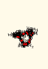 Cc1cc2c(OC3OC(CO)C(O)C(O)C3OC3CC(C)(N)C(O)C(C)O3)c(c1)Oc1ccc(cc1Cl)[C@@H](O)[C@@H](NC(=O)[C@@H](CC(C)C)N(C)C)C(=O)N[C@@H](CC(N)=O)C(=O)NCC(=O)N[C@H]1C(=O)N[C@H](C(=O)N[C@H](C(=O)O)c3cc(O)cc(O)c3-c3cc1ccc3O)[C@H](O)c1ccc(c(Cl)c1)O2